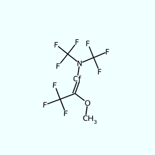 CO/[C](=[Cf]/[N](C(F)(F)F)C(F)(F)F)C(F)(F)F